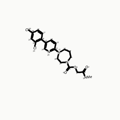 CNC(=O)COC(=O)N1CCCN(c2ccc(-c3ccc(Cl)cc3Cl)cn2)CC1